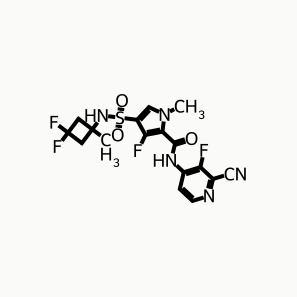 Cn1cc(S(=O)(=O)NC2(C)CC(F)(F)C2)c(F)c1C(=O)Nc1ccnc(C#N)c1F